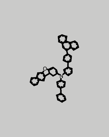 C1=C2Oc3cc4ccccc4cc3C2CC(N(c2ccc(-c3ccccc3)cc2)c2cccc(-c3ccc(-c4cc5ccccc5c5ccccc45)cc3)c2)=C1